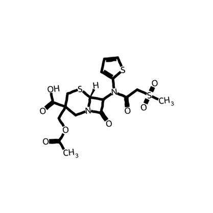 CC(=O)OCC1(C(=O)O)CS[C@@H]2C(N(C(=O)CS(C)(=O)=O)c3cccs3)C(=O)N2C1